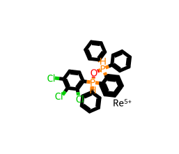 Clc1ccc([PH](O[PH](c2ccccc2)(c2ccccc2)c2ccccc2)(c2ccccc2)c2ccccc2)c(Cl)c1Cl.[Re+5]